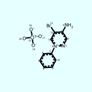 Nc1cn[n+](-c2ccccc2)cc1Br.[O-][Cl+3]([O-])([O-])[O-]